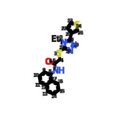 CCn1c(SCC(=O)Nc2cccc3ccccc23)nnc1-c1ccsc1